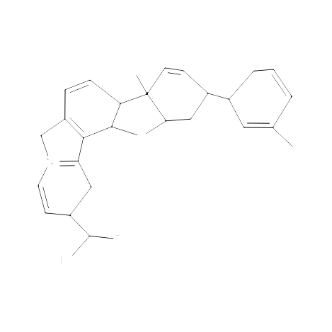 CCC(CC)C1C=C[N+]2=C(C1)C1=C(C=CC3C1SC1CC(C4C=C(C)C=CC4)C=CC13C)C2